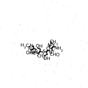 C/C(=C(/CCO)SS/C(CCO)=C(\C)N(C=O)Cc1cnc(C)nc1N)N(C=O)Cc1cnc(C)nc1N